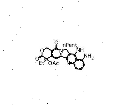 CCCCCNc1c2c(nc3cccc(N)c13)-c1cc3c(c(=O)n1C2)COC(=O)[C@@]3(CC)OC(C)=O